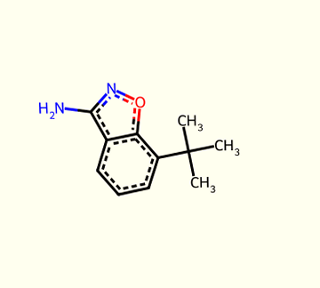 CC(C)(C)c1cccc2c(N)noc12